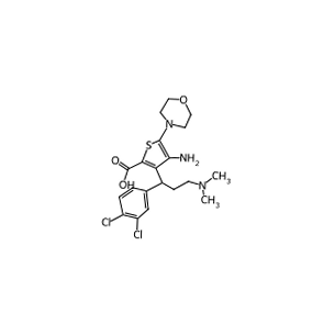 CN(C)CCC(c1ccc(Cl)c(Cl)c1)c1c(C(=O)O)sc(N2CCOCC2)c1N